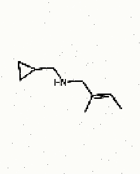 C/C=C(\C)CNCC1CC1